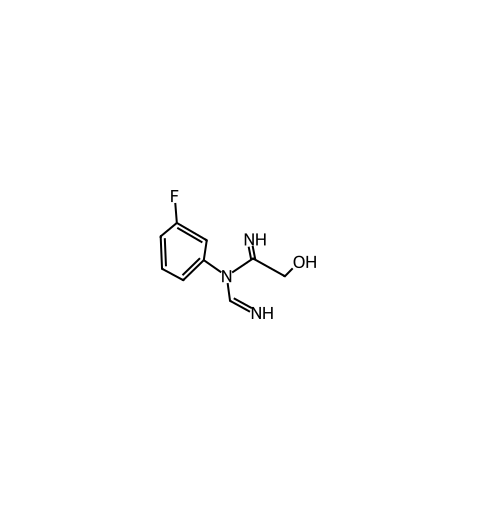 N=CN(C(=N)CO)c1cccc(F)c1